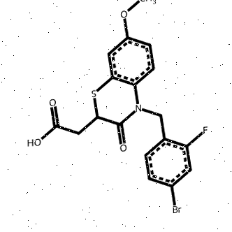 COc1ccc2c(c1)SC(CC(=O)O)C(=O)N2Cc1ccc(Br)cc1F